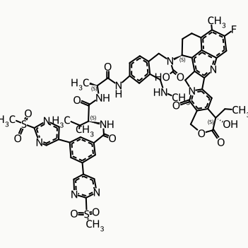 CC[C@@]1(O)C(=O)OCc2c1cc1n(c2=O)Cc2c-1nc1cc(F)c(C)c3c1c2[C@@H](N(Cc1ccc(NC(=O)[C@H](C)NC(=O)[C@@H](NC(=O)c2cc(-c4cnc(S(C)(=O)=O)nc4)cc(-c4cnc(S(C)(=O)=O)nc4)c2)C(C)C)cc1CNC)C(=O)O)CC3